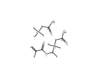 C=C(C)C(=O)OC(C)[N+](C)(C)CC(=O)O.C[N+](C)(C)CC(=O)O